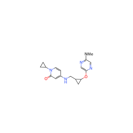 CNc1cnc(OC2CC2CNc2ccn(C3CC3)c(=O)c2)cn1